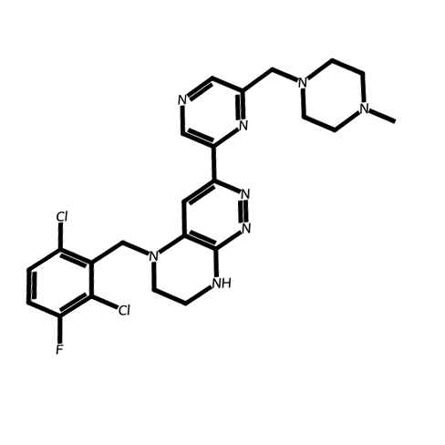 CN1CCN(Cc2cncc(-c3cc4c(nn3)NCCN4Cc3c(Cl)ccc(F)c3Cl)n2)CC1